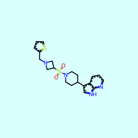 O=S(=O)(C1CN(Cc2cccs2)C1)N1CCC(c2c[nH]c3ncccc23)CC1